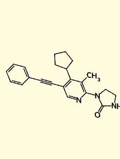 Cc1c(N2CCNC2=O)ncc(C#Cc2ccccc2)c1C1CCCC1